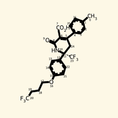 Cc1ccc(C2=C(C(=O)O)C(=O)N[C@@](c3ccc(OCCCC(F)(F)F)cc3)(C(F)(F)F)C2)cc1